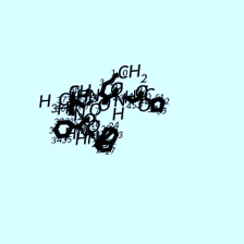 C=CCCC(NC(=O)[C@@H]1[C@@H]2[C@H](CN1C(=O)[C@@H](NC(=O)NC13CC4CC(CC(C4)C1)C3)C1CCCCC1)C2(C)C)C(=O)C(=O)NCCC(=O)OC1(C)CCCC1